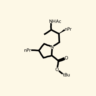 CCCC1CC(C(=O)OC(C)(C)C)N(C[C@H](CCC)C(C)NC(C)=O)C1